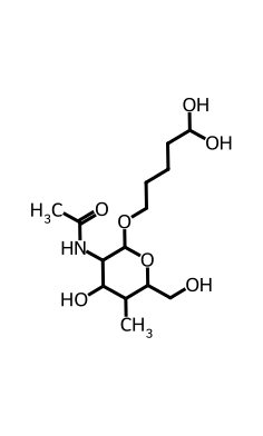 CC(=O)NC1C(OCCCCC(O)O)OC(CO)C(C)C1O